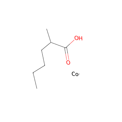 CCCCC(C)C(=O)O.[Co]